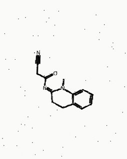 CN1C(=NC(=O)CC#N)CCc2ccccc21